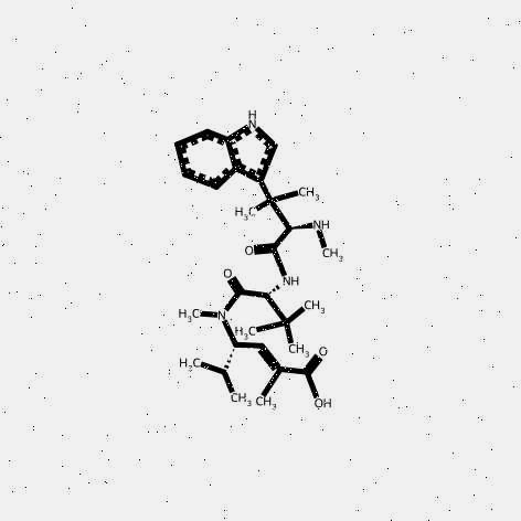 CN[C@@H](C(=O)N[C@@H](C(=O)N(C)[C@H](/C=C(\C)C(=O)O)C(C)C)C(C)(C)C)C(C)(C)c1c[nH]c2ccccc12